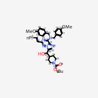 CCC/C=C/c1nc(N(Cc2ccc(OC)cc2)Cc2ccc(OC)cc2)c2ncc(C(O)C3CCN(C(=O)OC(C)(C)C)CC3)n2n1